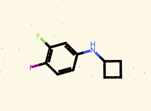 Fc1cc(NC2CCC2)ccc1I